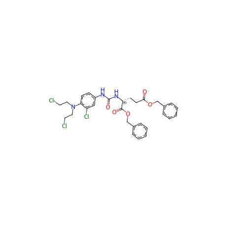 O=C(Nc1ccc(N(CCCl)CCCl)c(Cl)c1)N[C@H](CCC(=O)OCc1ccccc1)C(=O)OCc1ccccc1